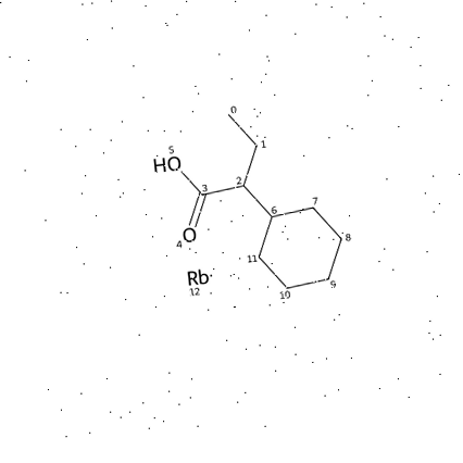 CCC(C(=O)O)C1CCCCC1.[Rb]